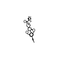 CC#Cc1cc(C)c(C2C(=O)CC3(CCN(C(=O)c4cncs4)CC3)CC2=O)c(C)c1